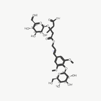 COc1cc(/C=C/COC(=O)CC(C)(CC(=O)O)O[C@@H]2O[C@H](CO)[C@@H](O)[C@H](O)[C@H]2O)cc(OC)c1O[C@@H]1O[C@H](CO)[C@@H](O)[C@H](O)[C@H]1O